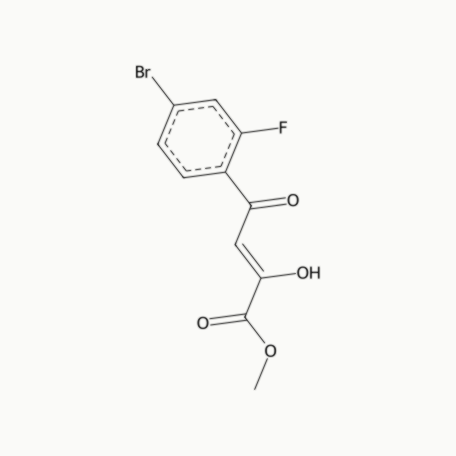 COC(=O)C(O)=CC(=O)c1ccc(Br)cc1F